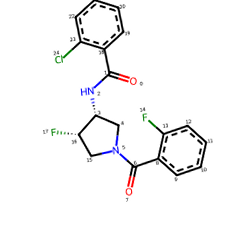 O=C(N[C@@H]1CN(C(=O)c2ccccc2F)C[C@@H]1F)c1ccccc1Cl